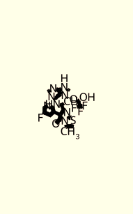 Cc1csc2nc(C(C)Nc3ncnc4[nH]cnc34)c(-c3cncc(F)c3)c(=O)n12.O=C(O)C(F)(F)F